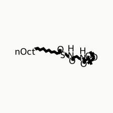 CCCCCCCC/C=C\CCCCCCCC(=O)SCCNC(=O)CCNC(=O)C1OC(C)(C)OCC1(C)C